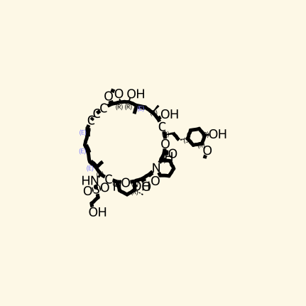 CO[C@@H]1C[C@H](CC[C@@H]2CC(O)[C@H](C)/C=C(\C)[C@@H](O)[C@@H](OC)C(=O)CCC/C=C/C=C/C=C(\C)[C@H](NS(=O)(=O)CCO)C[C@@H]3CC[C@@H](C)[C@@](O)(O3)C(=O)C(=O)N3CCCC[C@H]3C(=O)O2)CC[C@H]1O